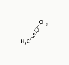 CCCCSCc1ccc(CCC)cc1